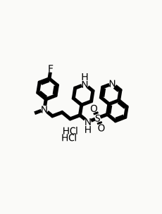 CN(CCCC(NS(=O)(=O)c1cccc2cnccc12)C1CCNCC1)c1ccc(F)cc1.Cl.Cl